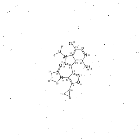 CC(C)n1nc(-c2noc(C3CC3)c2N2CCCC2=O)c2c(N)ncc(Cl)c21